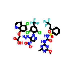 COc1nc(C)nc(NC(=O)NS(=O)(=O)c2ccccc2CCC(F)(F)F)n1.Nc1c([N+](=O)[O-])cnn1-c1c(Cl)cc(C(F)(F)F)cc1Cl.O=C(O)COc1ccc(Cl)c2cccnc12